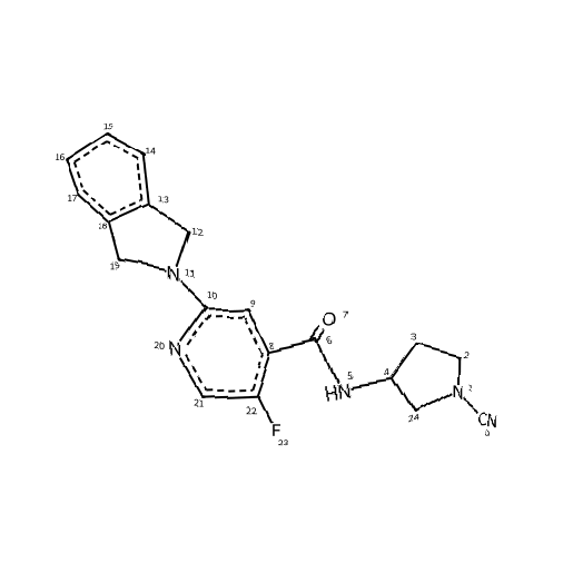 N#CN1CCC(NC(=O)c2cc(N3Cc4ccccc4C3)ncc2F)C1